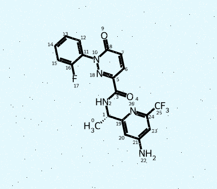 C[C@H](NC(=O)c1ccc(=O)n(-c2ccccc2F)n1)c1cc(N)cc(C(F)(F)F)n1